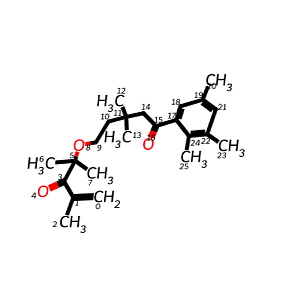 C=C(C)C(=O)C(C)(C)OCCC(C)(C)CC(=O)c1cc(C)cc(C)c1C